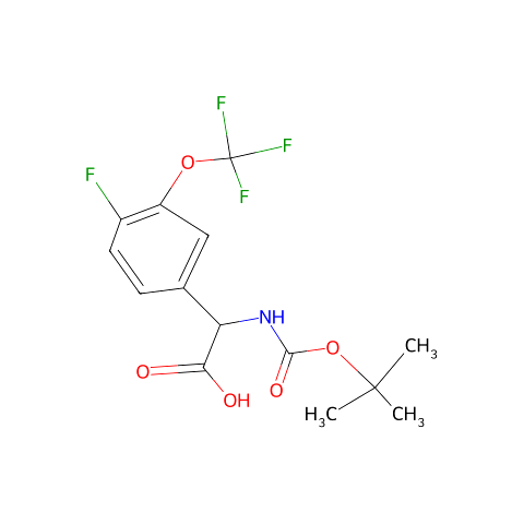 CC(C)(C)OC(=O)NC(C(=O)O)c1ccc(F)c(OC(F)(F)F)c1